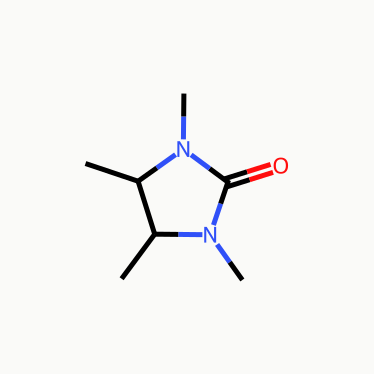 CC1C(C)N(C)C(=O)N1C